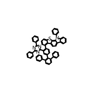 c1ccc(-c2nc(-c3ccccc3)nc(-c3cc(-c4c(-c5ccccc5)cccc4-c4ccccc4)ccc3-c3cccc4sc5c(ccc6c7ccccc7n(-c7ccccc7)c65)c34)n2)cc1